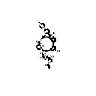 C=CC(=O)N1CCC(O)(C(=O)N(C)[C@H](C(=O)N[C@H]2Cc3cc(O)cc(c3)-c3ccc4c(c3)c(c(-c3ccc(N5CCN(C)CC5)nc3)n4CC)CC(C)(C)COC(=O)[C@@]3(O)CCCN(N3)C2=O)C(C)C)C1